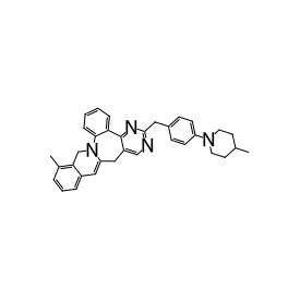 Cc1cccc2c1CN1C(=C2)Cc2cnc(Cc3ccc(N4CCC(C)CC4)cc3)nc2-c2ccccc21